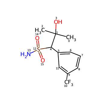 CC(C)(O)C(c1cccc(C(F)(F)F)c1)S(N)(=O)=O